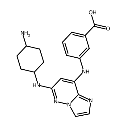 NC1CCC(Nc2cc(Nc3cccc(C(=O)O)c3)c3nccn3n2)CC1